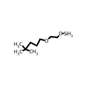 CC(C)(C)CCCOCCO[SiH3]